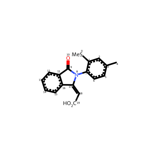 CSc1cc(C)ccc1N1C(=O)c2ccccc2/C1=C\C(=O)O